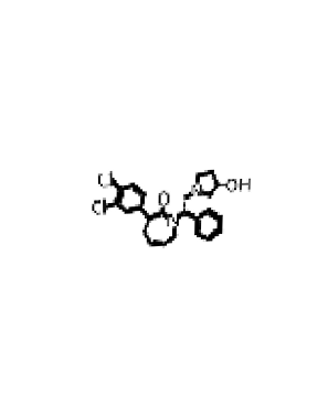 O=C1C(c2ccc(Cl)c(Cl)c2)CC=CCN1[C@H](CN1CC[C@H](O)C1)c1ccccc1